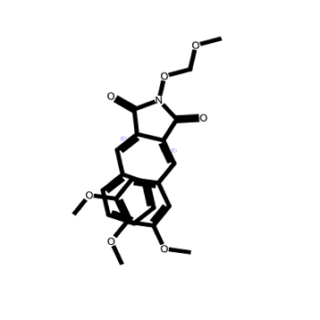 COCON1C(=O)C(=C/c2ccccc2)/C(=C\c2cc(OC)c(OC)c(OC)c2)C1=O